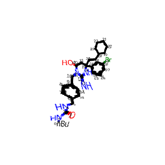 CCCCNC(=O)NCc1ccc(CN2C(=N)NC(CCC3CCCCC3)(c3cccc(Br)c3)CC2O)cc1